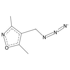 Cc1noc(C)c1CN=[N+]=[N-]